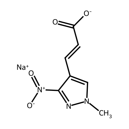 Cn1cc(/C=C/C(=O)[O-])c([N+](=O)[O-])n1.[Na+]